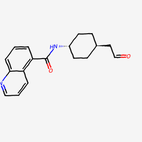 O=CC[C@H]1CC[C@H](NC(=O)c2cccc3ncccc23)CC1